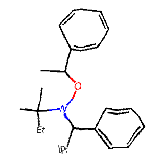 CCC(C)(C)N(OC(C)c1ccccc1)C(c1ccccc1)C(C)C